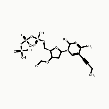 NCC#CC1=CN([C@H]2CC(OCS)[C@@H](COP(=O)(O)OP(=O)(O)OP(=O)(O)O)O2)C(O)N=C1N